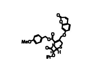 COc1ccc(COC(=O)C2=C(COc3ccc4ccc(=O)oc4c3)CS[C@@H]3[C@@H](OC(C)C)C(=O)N23)cc1